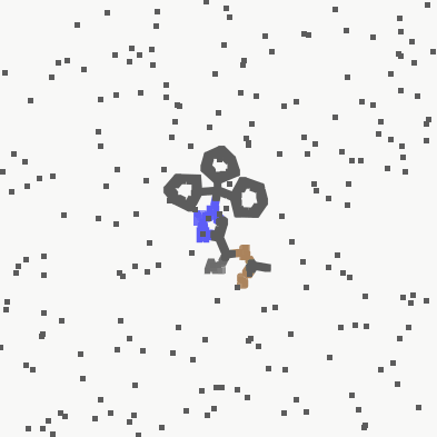 CC(=O)C(SC(C)=S)c1cn(C(c2ccccc2)(c2ccccc2)c2ccccc2)nn1